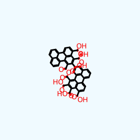 O=C(O)c1c(C(=O)O)c2c(C(=O)O)ccc3c4cccc5cccc(c(c1C(=O)OC(=O)c1c(C(=O)O)c(C(=O)O)c6c(C(=O)O)ccc7c8cccc9cccc(c1c67)c98)c23)c54